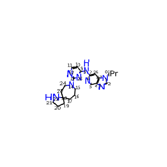 CC(C)n1cnc2cnc(Nc3ccnc(N4CCCC5(CCCN5)CC4)n3)cc21